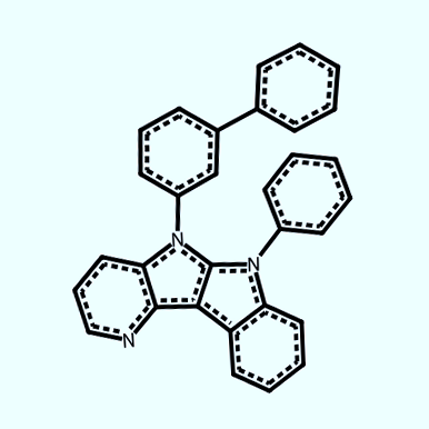 c1ccc(-c2cccc(-n3c4cccnc4c4c5ccccc5n(-c5ccccc5)c43)c2)cc1